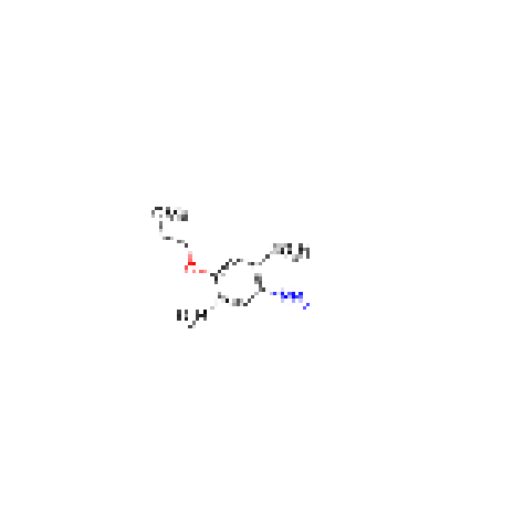 COCCOc1cc(S(=O)(=O)O)c(N)cc1[N+](=O)[O-]